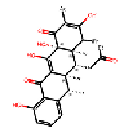 CCC(=O)C[C@@H]1[C@]2(C)C(=C(O)[C@@]3(O)C(=O)C(C(C)=O)=C(O)C(C(C)C)[C@@]13C)C(=O)c1c(O)cccc1[C@H]2C